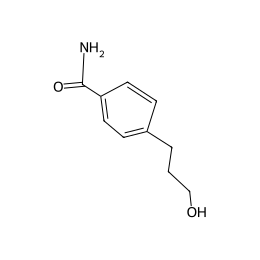 NC(=O)c1ccc(CCCO)cc1